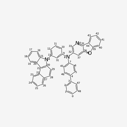 c1ccc(-c2ccc(N(c3cccc(-n4c5ccccc5c5c6ccccc6ccc54)c3)c3cnc4c(c3)oc3ccccc34)cc2)cc1